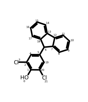 Oc1c(Cl)cc(C2c3ccccc3-c3ccccc32)cc1Cl